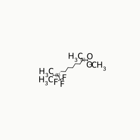 COC(=O)[C@@H](C)CCCCCC[C@@H](C(C)C)C(F)(F)F